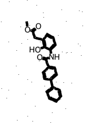 COC(=O)Cc1cccc(NC(=O)c2ccc(-c3ccccc3)cc2)c1O